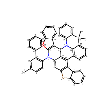 CC(C)(C)c1ccc(N2c3cc4sc5ccccc5c4c4c3B(c3c2oc2ccccc32)N2c3ccccc3[Si](C)(C)c3cccc-4c32)c(-c2ccccc2)c1